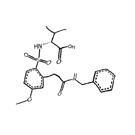 COc1ccc(S(=O)(=O)N[C@@H](C(=O)O)C(C)C)c(CC(=O)NCc2ccccc2)c1